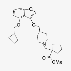 COC(=O)C1(CN2CCC(COc3noc4cccc(OCC5CCC5)c34)CC2)CCCC1